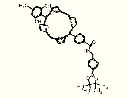 Cc1cc(C)c(-c2c3nc(cc4ccc([nH]4)c(-c4ccc(C(=O)NCc5ccc(B6OC(C)(C)C(C)(C)O6)cc5)cc4)c4nc(cc5ccc2[nH]5)C=C4)C=C3)c(C)c1